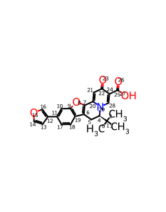 CC(C)(C)[C@H]1Cc2c(oc3cc(-c4ccoc4)ccc23)-c2cc(=O)c(C(=O)O)cn21